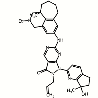 C=CCn1c(=O)c2cnc(Nc3cc4c5c(c3)CN(CC)CC5(C)CCCC4)nc2n1-c1ccc2c(n1)C(C)(O)CC2